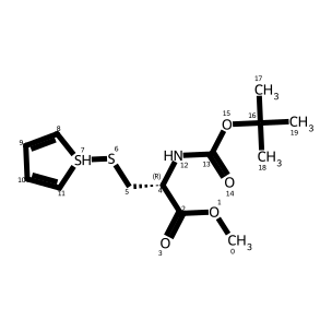 COC(=O)[C@H](CS[SH]1C=CC=C1)NC(=O)OC(C)(C)C